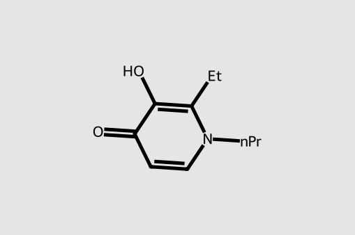 CCCn1ccc(=O)c(O)c1CC